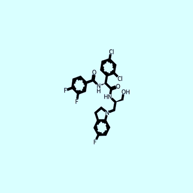 O=C(N[C@@H](C(=O)N[C@@H](CO)CN1CCc2cc(F)ccc21)c1ccc(Cl)cc1Cl)c1ccc(F)c(F)c1